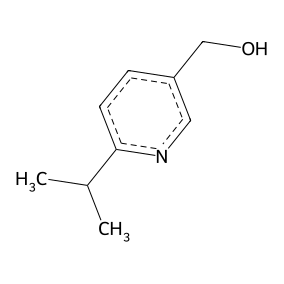 CC(C)c1ccc(CO)cn1